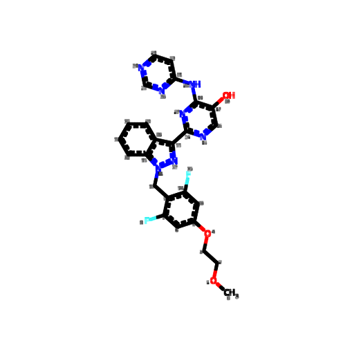 COCCOc1cc(F)c(Cn2nc(-c3ncc(O)c(Nc4ccncn4)n3)c3ccccc32)c(F)c1